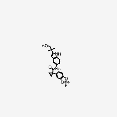 CC(C)(CO)c1cc2cc(NC(=O)C3(c4ccc5c(c4)OC(F)(F)O5)CC3)ccc2[nH]1